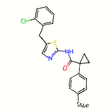 CSc1ccc(C2(C(=O)Nc3ncc(Cc4ccccc4Cl)s3)CC2)cc1